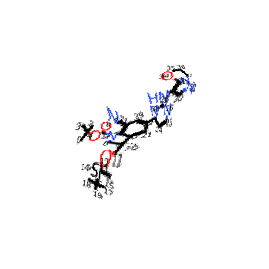 CC(C)(C)OC(=O)N1C[C@](C)(CO[Si](C)(C)C(C)(C)C)c2cc(-c3ccnc(Nc4cnn5c4OCCC5)n3)cc(C#N)c21